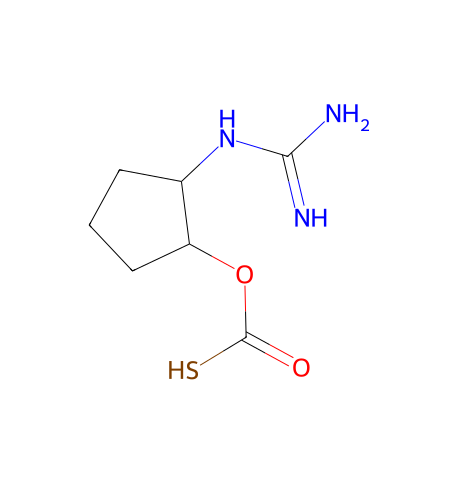 N=C(N)NC1CCCC1OC(=O)S